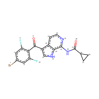 O=C(c1c(F)cc(Br)cc1F)c1c[nH]c2c(NC(=O)C3CC3)nccc12